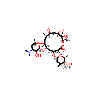 CC[C@H]1OC(=O)[C@H](C)C(O[C@H]2C[C@@](C)(OC)[C@@H](O)[C@H](C)O2)[C@H](C)[C@@H](O[C@@H]2O[C@H](C)C[C@H](N(C)C)[C@H]2O)[C@](C)(O)C[C@@H](C)C(=O)[C@H](C)[C@@H](O)[C@]1(C)O